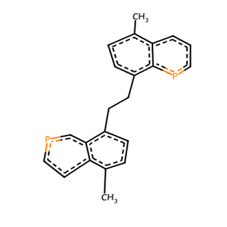 Cc1ccc(CCc2ccc(C)c3cccpc23)c2cpccc12